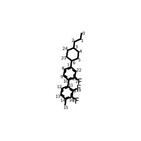 CCCC1CCC(c2ccc(-c3ccc(C)c(F)c3F)c(F)c2)CC1